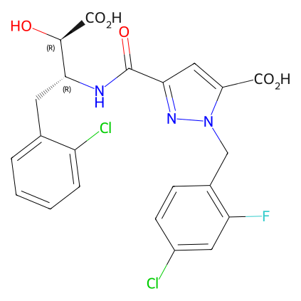 O=C(N[C@H](Cc1ccccc1Cl)[C@@H](O)C(=O)O)c1cc(C(=O)O)n(Cc2ccc(Cl)cc2F)n1